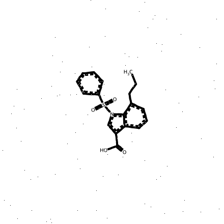 CCCc1cccc2c(C(=O)O)cn(S(=O)(=O)c3ccccc3)c12